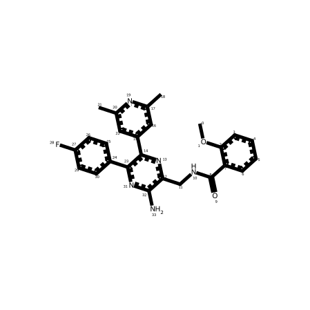 COc1ccccc1C(=O)NCc1nc(-c2cc(C)nc(C)c2)c(-c2ccc(F)cc2)nc1N